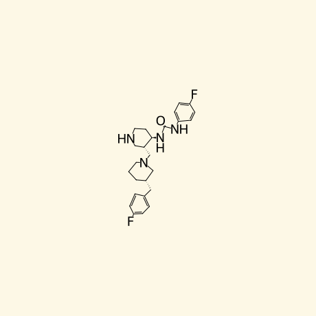 O=C(Nc1ccc(F)cc1)N[C@@H]1CCNC[C@H]1CN1CCC[C@@H](Cc2ccc(F)cc2)C1